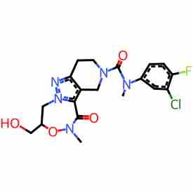 CN1OC(CO)Cn2nc3c(c2C1=O)CN(C(=O)N(C)c1ccc(F)c(Cl)c1)CC3